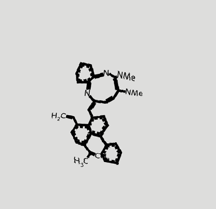 C=Cc1ccc(C(=C)C)c2c(-c3ccccc3)ccc(/C=C3\C=C/C(NC)=C(NC)\N=c4\cccc\c4=N\3)c12